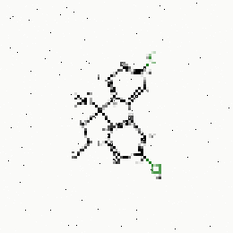 CCC[C]([Sn])(c1ccc(Cl)cc1)c1ccc(Cl)cc1